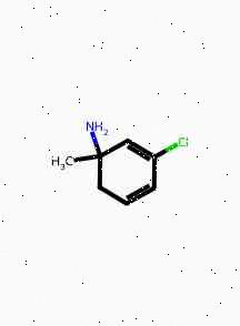 CC1(N)C=C(Cl)C=CC1